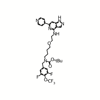 CC(C)(C)OC(=O)N(CCCCOCCNc1nc(-c2ccncc2)cc2[nH]ncc12)Cc1cc(F)c(OC(F)(F)F)c(F)c1